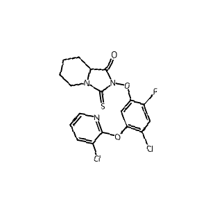 O=C1C2CCCCN2C(=S)N1Oc1cc(Oc2ncccc2Cl)c(Cl)cc1F